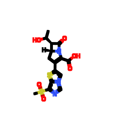 CC(O)[C@H]1C(=O)N2C(C(=O)O)=C(c3cn4cnc(S(C)(=O)=O)c4s3)C[C@H]12